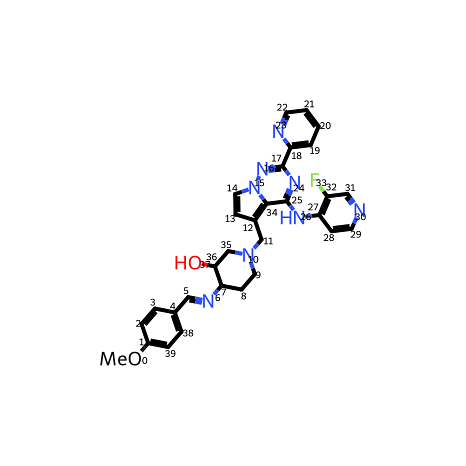 COc1ccc(C=NC2CCN(Cc3ccn4nc(-c5ccccn5)nc(Nc5ccncc5F)c34)CC2O)cc1